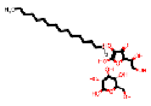 O=C1C(O)=C(O)OC1C(O)CO.OC[C@H]1OC(O)[C@H](O)[C@@H](O)[C@@H]1O.[CH2]CCCCCCCCCCCCCCC